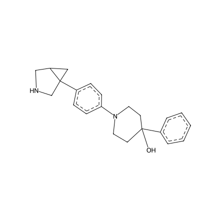 OC1(c2ccccc2)CCN(c2ccc(C34CNCC3C4)cc2)CC1